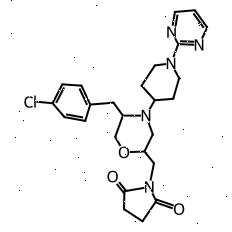 O=C1CCC(=O)N1CC1CN(C2CCN(c3ncccn3)CC2)C(Cc2ccc(Cl)cc2)CO1